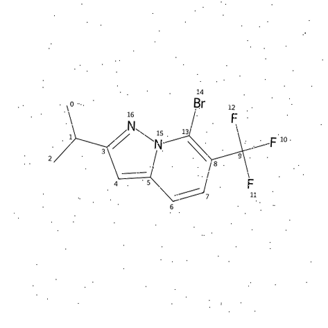 CC(C)c1cc2ccc(C(F)(F)F)c(Br)n2n1